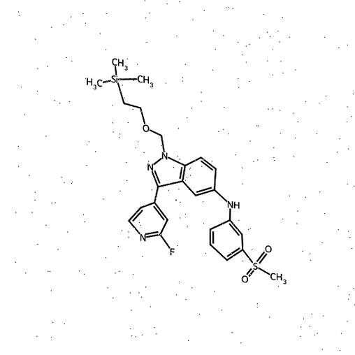 C[Si](C)(C)CCOCn1nc(-c2ccnc(F)c2)c2cc(Nc3cccc(S(C)(=O)=O)c3)ccc21